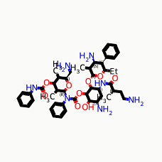 CCC1O[C@H](OC2C(OC(=O)N(c3ccccc3)[C@@H]3O[C@H](CN)C(C)C(OC(=O)Nc4ccccc4)C3C)C(O)[C@@H](N)C[C@H]2NC(=O)[C@H](C)CCN)C(C)[C@@H](N)[C@@H]1c1ccccc1